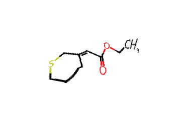 CCOC(=O)/C=C1\CCCSC1